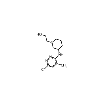 Cc1cc(Cl)nnc1N[C@@H]1CCCN(CCO)C1